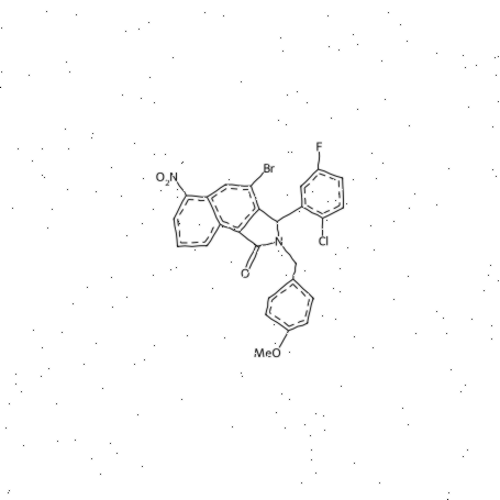 COc1ccc(CN2C(=O)c3c(c(Br)cc4c([N+](=O)[O-])cccc34)C2c2cc(F)ccc2Cl)cc1